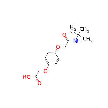 CC(C)(C)NC(=O)COc1ccc(OCC(=O)O)cc1